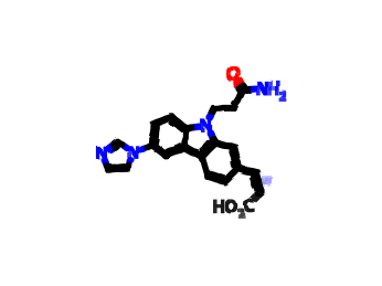 NC(=O)CCn1c2ccc(-n3ccnc3)cc2c2ccc(/C=C\C(=O)O)cc21